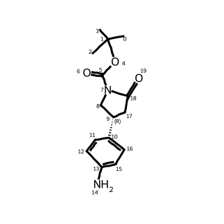 CC(C)(C)OC(=O)N1C[C@@H](c2ccc(N)cc2)CC1=O